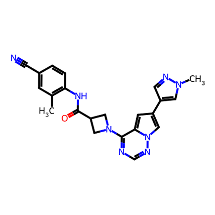 Cc1cc(C#N)ccc1NC(=O)C1CN(c2ncnn3cc(-c4cnn(C)c4)cc23)C1